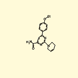 CCOc1ccc(-c2cc(C(N)=O)nc(N3CC=CCC3)n2)cc1